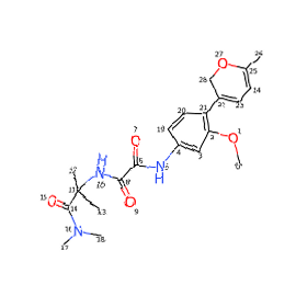 COc1cc(NC(=O)C(=O)NC(C)(C)C(=O)N(C)C)ccc1C1=CC=C(C)OC1